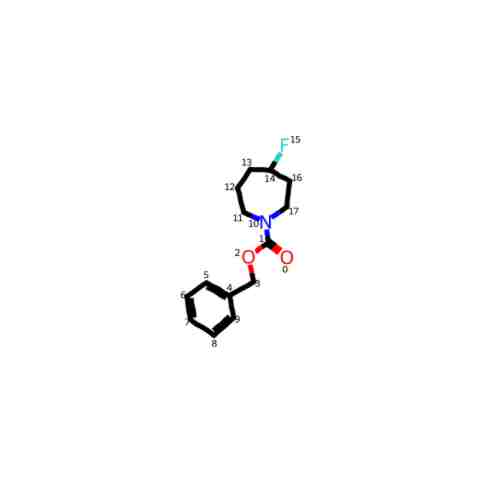 O=C(OCc1ccccc1)N1CCCC(F)CC1